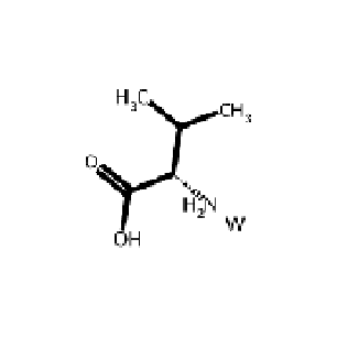 CC(C)[C@H](N)C(=O)O.[W]